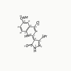 CCCC1=NNC(=O)/C1=C1/C=C(Cl)c2cc(OC)ccc2N1